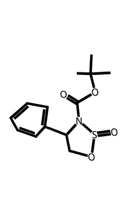 CC(C)(C)OC(=O)N1C(c2ccccc2)COS1=O